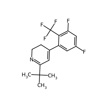 CC(C)(C)C1=NCCC(c2cc(F)cc(F)c2C(F)(F)F)=C1